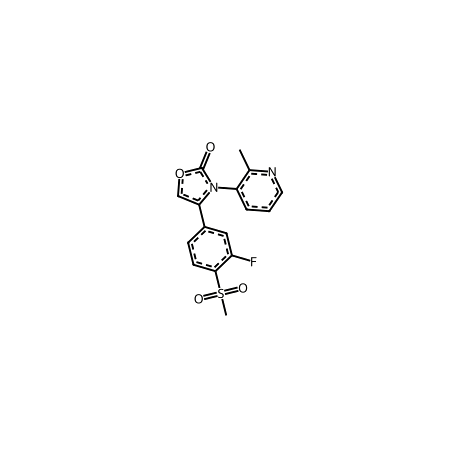 Cc1ncccc1-n1c(-c2ccc(S(C)(=O)=O)c(F)c2)coc1=O